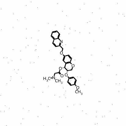 COc1ccc(O[C@H]2COc3ccc(OCc4ccc5ccccc5n4)cc3[C@H]2OC(=O)CN(C)C)cc1